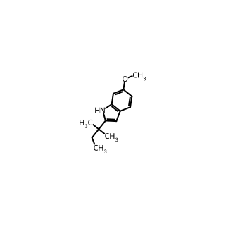 CCC(C)(C)c1cc2ccc(OC)cc2[nH]1